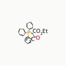 CCOC(=O)C(C(=O)C(F)(F)F)=P(c1ccccc1)(c1ccccc1)c1ccccc1